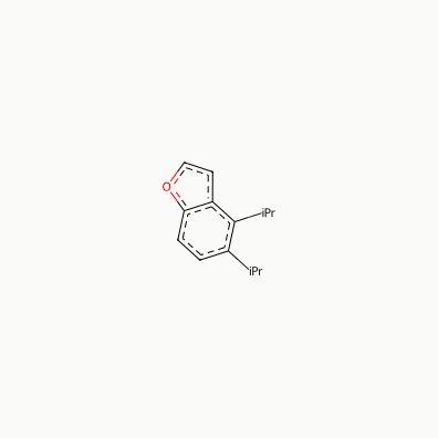 CC(C)c1ccc2occc2c1C(C)C